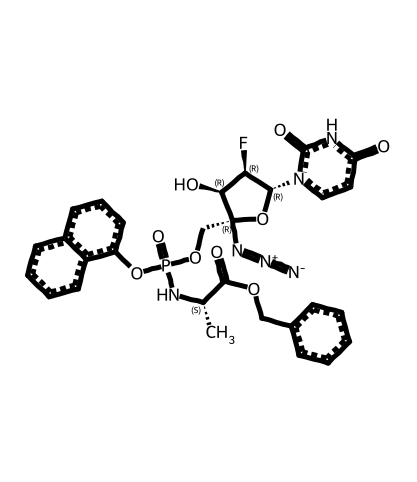 C[C@H](NP(=O)(OC[C@@]1(N=[N+]=[N-])O[C@@H](n2ccc(=O)[nH]c2=O)[C@H](F)[C@@H]1O)Oc1cccc2ccccc12)C(=O)OCc1ccccc1